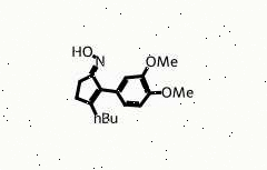 CCCCC1=C(c2ccc(OC)c(OC)c2)/C(=N/O)CC1